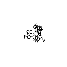 CC(C)(C)[O-].O=C(O)Cc1cc(CSc2ncc3c(n2)c(N2CC(F)(F)OC(F)(F)C2)cn3C2CC2)ccc1F.[K+]